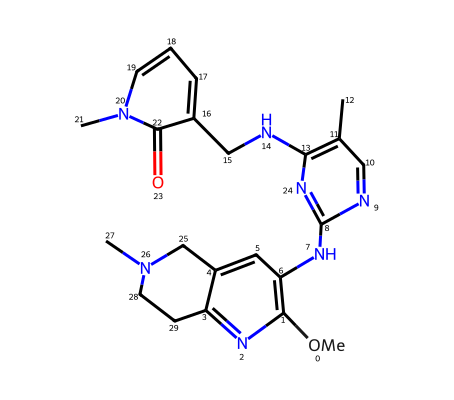 COc1nc2c(cc1Nc1ncc(C)c(NCc3cccn(C)c3=O)n1)CN(C)CC2